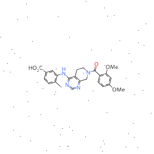 COc1ccc(C(=O)N2CCc3c(ncnc3Nc3cc(C(=O)O)ccc3C)C2)c(OC)c1